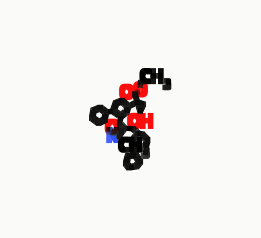 CCOC(=O)C1(c2ccc(-c3ccccc3)c(-c3onc(C)c3C(O)c3cccc(-c4ccccc4)c3)c2)CC1